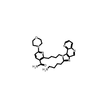 NCCCCc1nc2cnc3cccnc3c2n1CCCCc1nc(N2CCOCC2)ccc1C(N)=O